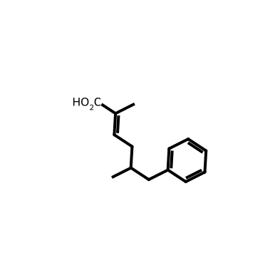 C/C(=C\CC(C)Cc1ccccc1)C(=O)O